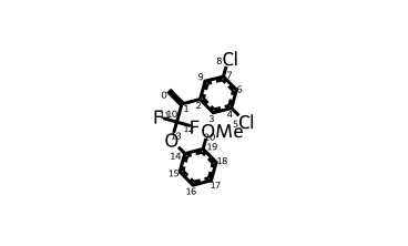 C=C(c1cc(Cl)cc(Cl)c1)C(F)(F)Oc1ccccc1OC